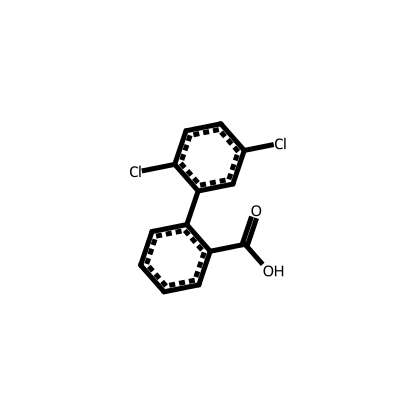 O=C(O)c1ccccc1-c1cc(Cl)ccc1Cl